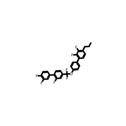 CCCc1ccc(-c2ccc(OC(F)(F)c3ccc(-c4ccc(F)c(F)c4)c(F)c3)cc2)c(F)c1F